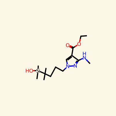 CCOC(=O)c1cn(CCCC(C)(C)[Si](C)(C)O)nc1NC